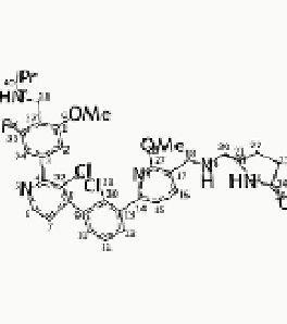 COc1cc(-c2nccc(-c3cccc(-c4ccc(CNC[C@H]5CCC(=O)N5)c(OC)n4)c3Cl)c2Cl)cc(F)c1CNC(C)C